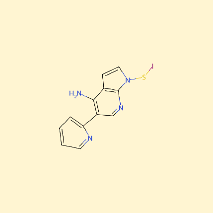 Nc1c(-c2ccccn2)cnc2c1ccn2SI